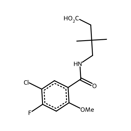 COc1cc(F)c(Cl)cc1C(=O)NCC(C)(C)CC(=O)O